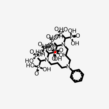 O=P(O)(O)C(N(CCCN(CCCN(C(P(=O)(O)O)P(=O)(O)O)C(P(=O)(O)O)P(=O)(O)O)c1ccccc1)C(P(=O)(O)O)P(=O)(O)O)P(=O)(O)O